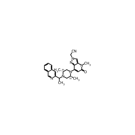 CC(c1cc2ccccc2cn1)N1C[C@H](C)N(c2cc(=O)n(C)c3cn(CC#N)nc23)C[C@H]1C